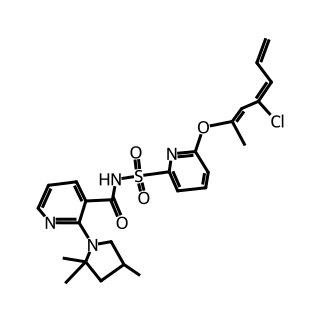 C=C/C=C(Cl)\C=C(/C)Oc1cccc(S(=O)(=O)NC(=O)c2cccnc2N2CC(C)CC2(C)C)n1